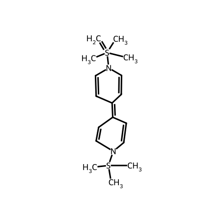 C=S(C)(C)(C)N1C=CC(=C2C=CN(S(C)(C)C)C=C2)C=C1